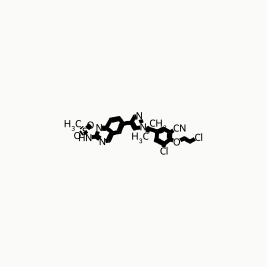 CC(C)(c1cc(Cl)c(OCCCl)c(C#N)c1)n1cc(-c2ccc3nc(NS(C)(=O)=O)ncc3c2)cn1